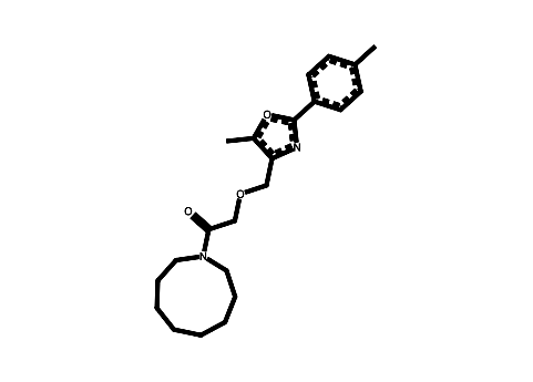 Cc1ccc(-c2nc(COCC(=O)N3CCCCCCCC3)c(C)o2)cc1